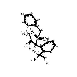 NC(=O)C(N)(c1ccccc1C(F)(F)F)S(=O)(=O)Cc1ccccc1